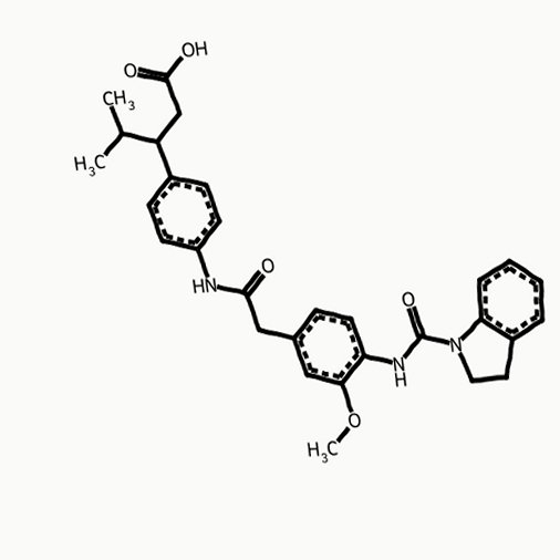 COc1cc(CC(=O)Nc2ccc(C(CC(=O)O)C(C)C)cc2)ccc1NC(=O)N1CCc2ccccc21